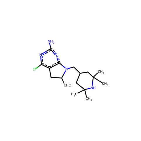 CC1(C)CC(CN2c3nc(N)nc(Cl)c3CC2C=O)CC(C)(C)N1